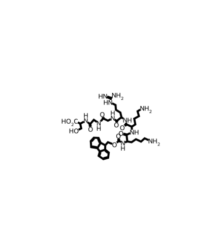 N=C(N)NCCCC(NC(=O)C(CCCCN)NC(=O)C(CCCCN)NC(=O)OCC1c2ccccc2-c2ccccc21)C(=O)NCC(=O)NCC(=O)NC(CO)C(=O)O